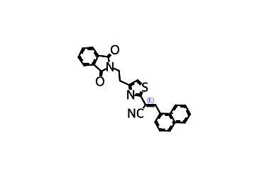 N#C/C(=C\c1cccc2ccccc12)c1nc(CCN2C(=O)c3ccccc3C2=O)cs1